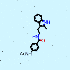 CC(=O)Nc1ccc(C(=O)NCCc2c(C)[nH]c3ccccc23)cc1